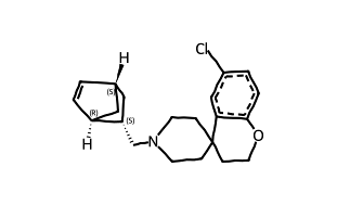 Clc1ccc2c(c1)C1(CCO2)CCN(C[C@H]2C[C@H]3C=C[C@H]2C3)CC1